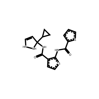 O=C(Nc1sccc1C(=O)NC1(C2CC2)C=CNN1)c1cccs1